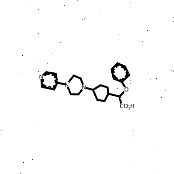 O=C(O)C(Oc1ccccc1)C1CCC(N2CCN(c3ccncc3)CC2)CC1